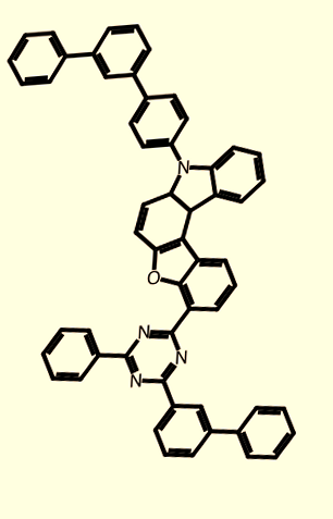 C1=CC2C(c3ccccc3N2c2ccc(-c3cccc(-c4ccccc4)c3)cc2)c2c1oc1c(-c3nc(-c4ccccc4)nc(-c4cccc(-c5ccccc5)c4)n3)cccc21